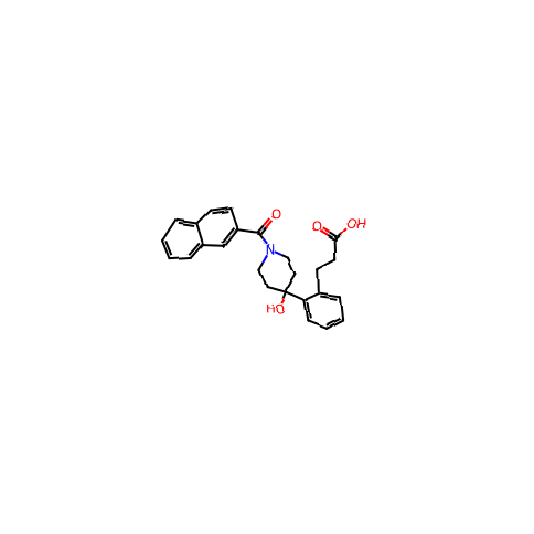 O=C(O)CCc1ccccc1C1(O)CCN(C(=O)c2ccc3ccccc3c2)CC1